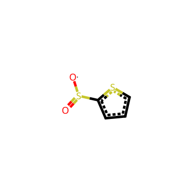 [O]S(=O)c1cccs1